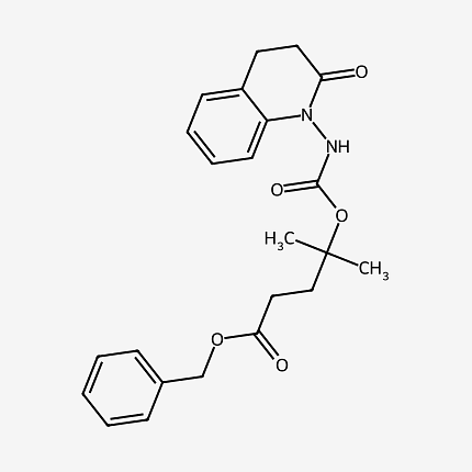 CC(C)(CCC(=O)OCc1ccccc1)OC(=O)NN1C(=O)CCc2ccccc21